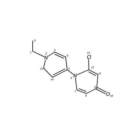 CCN1C=CC(n2ccc(=O)cc2Cl)=CC1